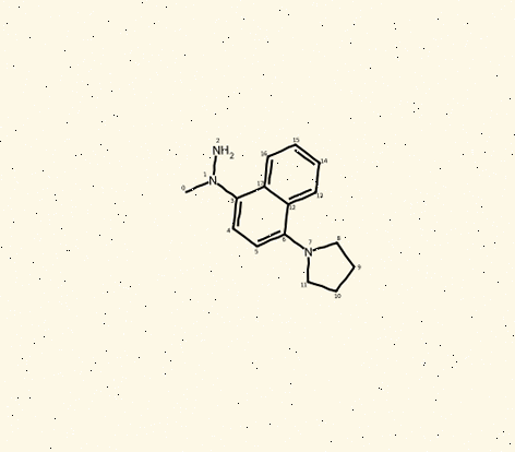 CN(N)c1ccc(N2CCCC2)c2ccccc12